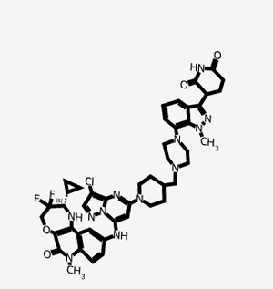 Cn1nc(C2CCC(=O)NC2=O)c2cccc(N3CCN(CC4CCN(c5cc(Nc6ccc7c(c6)c6c(c(=O)n7C)OCC(F)(F)[C@H](C7CC7)N6)n6ncc(Cl)c6n5)CC4)CC3)c21